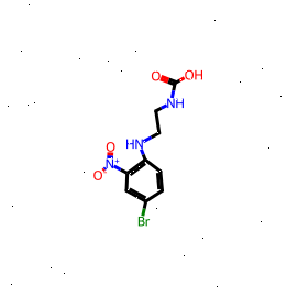 O=C(O)NCCNc1ccc(Br)cc1[N+](=O)[O-]